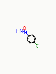 Clc1ccc(-n2[nH]o2)cc1